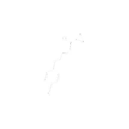 O=C(OC/C=C/c1ccc(Cl)cc1)C1CC1